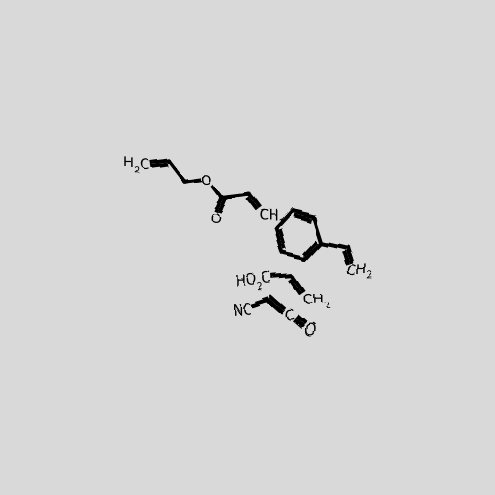 C=CC(=O)O.C=CCOC(=O)C=C.C=Cc1ccccc1.N#CC=C=O